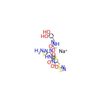 CC(O/N=C(\C(=O)NC1C(=O)N2C(C(=O)[O-])=C(CSc3nncs3)CS[C@H]12)c1csc(N)n1)C(=O)N/N=C/c1ccc(O)c(O)c1.[Na+]